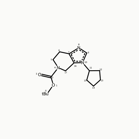 CC(C)(C)OC(=O)N1CCc2ncn(C3CCCC3)c2C1